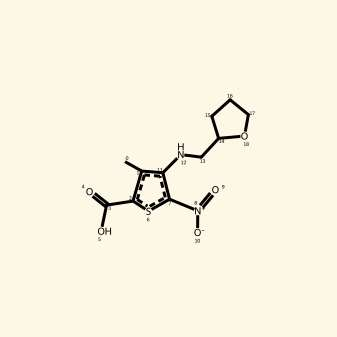 Cc1c(C(=O)O)sc([N+](=O)[O-])c1NCC1CCCO1